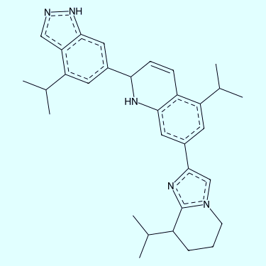 CC(C)c1cc(-c2cn3c(n2)C(C(C)C)CCC3)cc2c1C=CC(c1cc(C(C)C)c3cn[nH]c3c1)N2